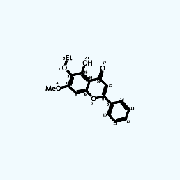 CCOc1c(OC)cc2oc(-c3ccccc3)cc(=O)c2c1O